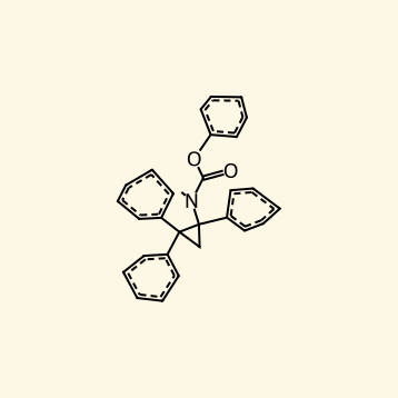 CN(C(=O)Oc1ccccc1)C1(c2ccccc2)CC1(c1ccccc1)c1ccccc1